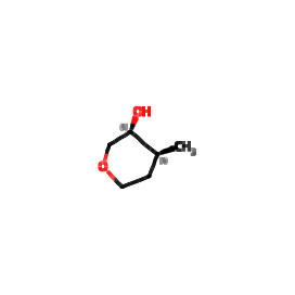 C[C@H]1CCOC[C@H]1O